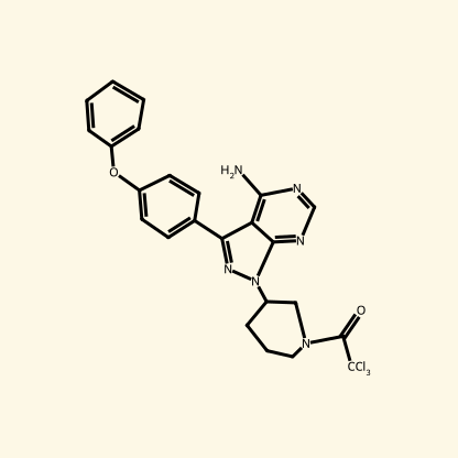 Nc1ncnc2c1c(-c1ccc(Oc3ccccc3)cc1)nn2C1CCCN(C(=O)C(Cl)(Cl)Cl)C1